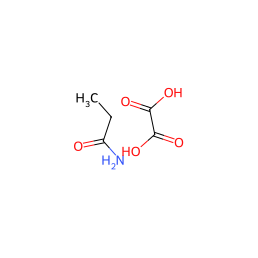 CCC(N)=O.O=C(O)C(=O)O